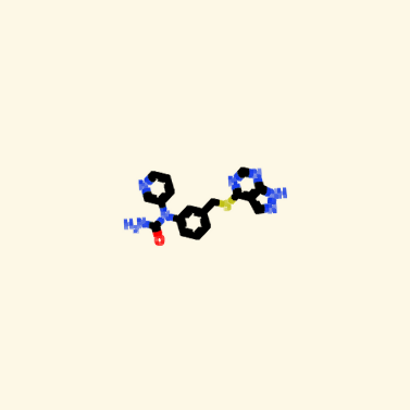 NC(=O)N(c1cccnc1)c1cccc(CSc2ncnc3[nH]ncc23)c1